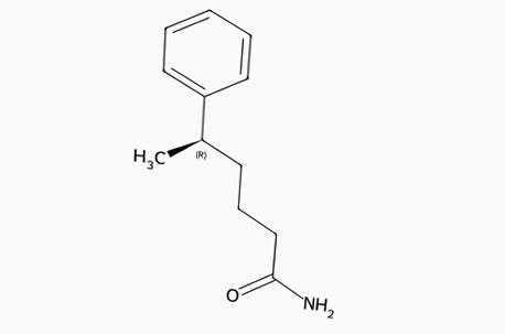 C[C@H](CCCC(N)=O)c1ccccc1